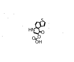 O=C(O)Oc1c[nH]c2ccc3sccc3c2c1=O